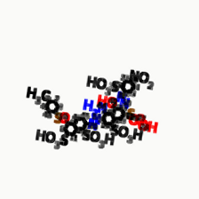 Cc1ccc(SOc2cc(S(=O)(=O)O)cc3c(S(=O)(=O)O)c(N=Nc4cc(S(=O)(=O)O)c5cc(SOOO)c(N=Nc6ccc([N+](=O)[O-])cc6S(=O)(=O)O)c(O)c5c4N)ccc23)cc1